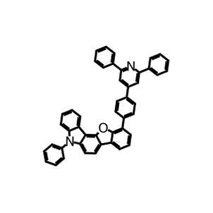 c1ccc(-c2cc(-c3ccc(-c4cccc5c4oc4c5ccc5c4c4ccccc4n5-c4ccccc4)cc3)cc(-c3ccccc3)n2)cc1